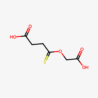 O=C(O)CCC(=S)OCC(=O)O